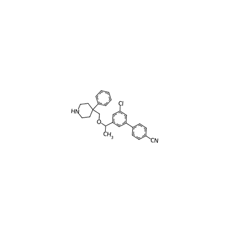 CC(OCC1(c2ccccc2)CCNCC1)c1cc(Cl)cc(-c2ccc(C#N)cc2)c1